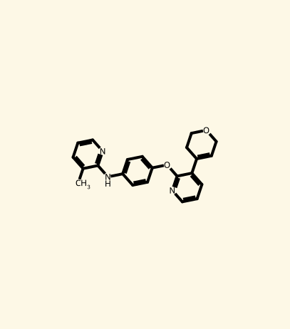 Cc1cccnc1Nc1ccc(Oc2ncccc2C2=CCOCC2)cc1